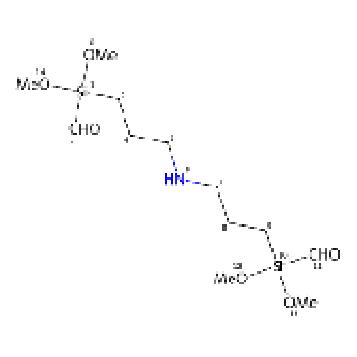 CO[Si](C=O)(CCCNCCC[Si](C=O)(OC)OC)OC